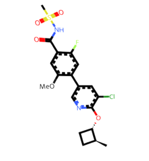 COc1cc(C(=O)NS(C)(=O)=O)c(F)cc1-c1cnc(O[C@H]2CC[C@@H]2C)c(Cl)c1